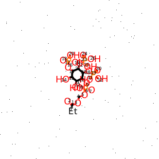 CCC(=O)OCOP(=O)(O)OC1C(O)C(O)C(OP(=O)(O)O)C(OP(=O)(O)O)C1OP(=O)(O)O